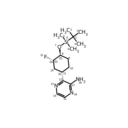 CC(C)(C)[Si](C)(C)O[C@H]1CC[C@H](c2nccnc2N)C[C@@H]1F